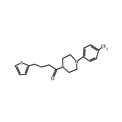 O=C(CCCc1cccs1)N1CCN(c2ccc(C(F)(F)F)cc2)CC1